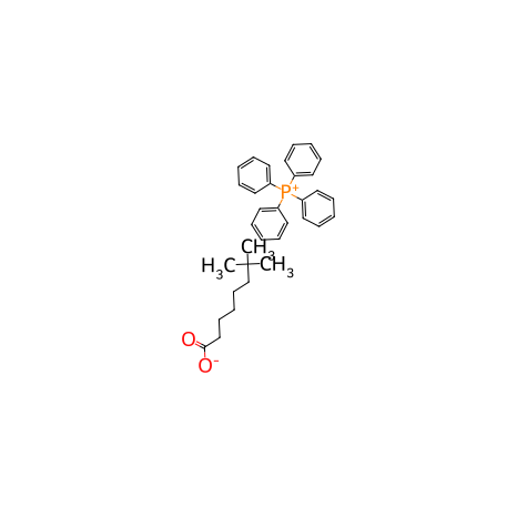 CC(C)(C)CCCCCC(=O)[O-].c1ccc([P+](c2ccccc2)(c2ccccc2)c2ccccc2)cc1